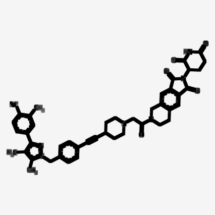 Cc1cc(-c2nn(Cc3ccc(C#CC4CCN(CC(=O)N5CCc6cc7c(cc6C5)C(=O)N(C5CCC(=O)NC5=O)C7=O)CC4)cc3)c(C)c2C)ccc1C#N